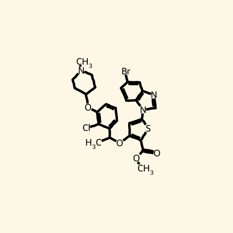 COC(=O)c1sc(-n2cnc3cc(Br)ccc32)cc1OC(C)c1cccc(OC2CCN(C)CC2)c1Cl